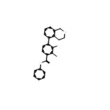 Cc1c(C(=O)Nc2ccccc2)ccc(-c2cccc3c2CCNC3)c1N